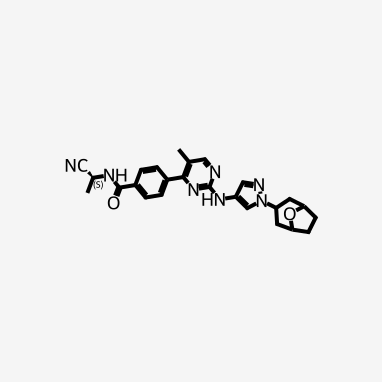 Cc1cnc(Nc2cnn(C3CC4CCC(C3)O4)c2)nc1-c1ccc(C(=O)N[C@@H](C)C#N)cc1